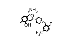 Cc1ccc2c(c1O)C[C@@H](C1CCN(Cc3cc(C(F)(F)F)ccc3F)CC1)O[C@H]2CN